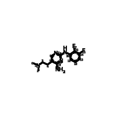 CN(C)CCc1cnc(Nc2cccc(F)c2F)nc1N